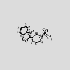 CB(O)N1CCCC(C(=O)Nc2ccccc2Br)C1